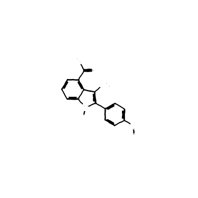 CCOc1ccc(-c2c(C#N)c3c(C(N)=O)c[c]cc3n2CC)cc1